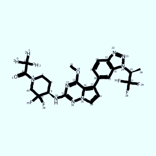 [2H]C([2H])([2H])C(=O)N1CC[C@@H](Nc2nc(OC)c3c(-c4ccc5nnn([C@@H](C)C(F)(F)F)c5c4)ccn3n2)C(F)(F)C1